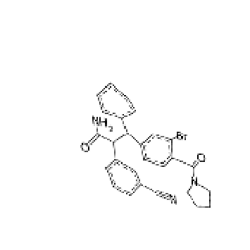 N#Cc1cccc(C(C(N)=O)C(c2ccccc2)c2ccc(C(=O)N3CCCC3)c(Br)c2)c1